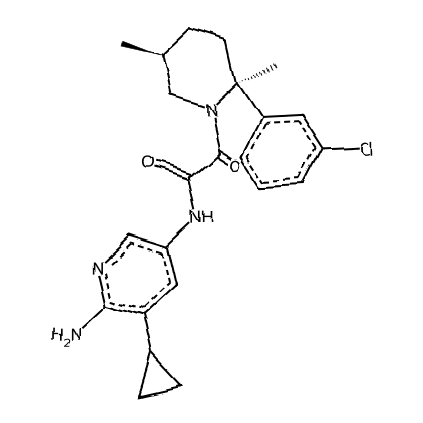 C[C@H]1CC[C@@](C)(c2cccc(Cl)c2)N(C(=O)C(=O)Nc2cnc(N)c(C3CC3)c2)C1